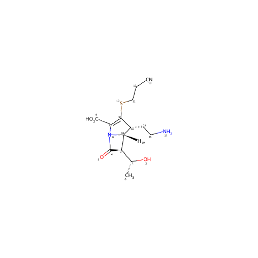 C[C@@H](O)[C@H]1C(=O)N2C(C(=O)O)=C(SCCC#N)[C@H](CCN)[C@H]12